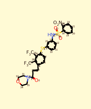 O=C(C=Cc1ccc(Sc2cccc(NS(=O)(=O)c3ccccc3[N+](=O)[O-])c2)c(C(F)(F)F)c1C(F)(F)F)N1CCOCC1